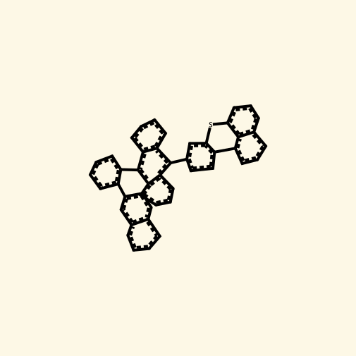 c1ccc(-c2c3ccccc3c(-c3ccc4c(c3)Sc3cccc5cccc-4c35)c3ccccc23)c(-c2ccc3ccccc3c2)c1